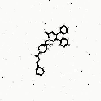 O=C(CCc1ccccc1)N1CCC(O)(Cn2nc(-c3ccccc3)c(-c3ccccc3)cc2=O)CC1